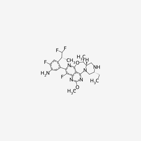 CC[C@@H]1CN2c3nc(OC)nc4c(F)c(-c5cc(N)c(F)cc5[C@@H](C)C(F)F)nc(c34)O[C@@H](C)[C@@H]2CN1